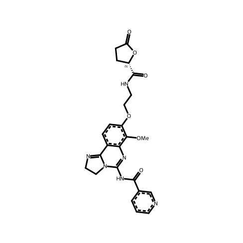 COc1c(OCCNC(=O)[C@@H]2CCC(=O)O2)ccc2c1N=C(NC(=O)c1cccnc1)N1CCN=C21